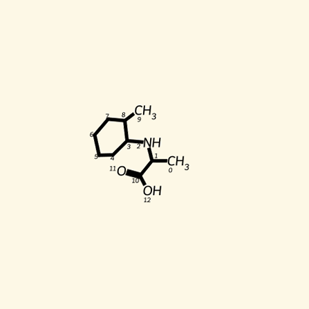 CC(NC1CCCCC1C)C(=O)O